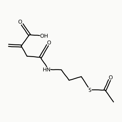 C=C(CC(=O)NCCCSC(C)=O)C(=O)O